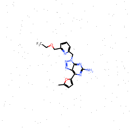 Cc1ccc(-c2nc(N)nc3c2nnn3Cc2cccc(COCC(F)(F)F)n2)o1